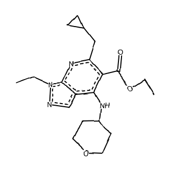 CCOC(=O)c1c(CC2CC2)nc2c(cnn2CC)c1NC1CCOCC1